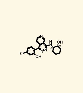 Oc1cc(Cl)ccc1-c1nnc(N[C@H]2CCCC[C@@H]2O)c2cnccc12